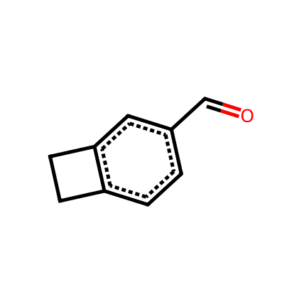 O=Cc1ccc2c(c1)CC2